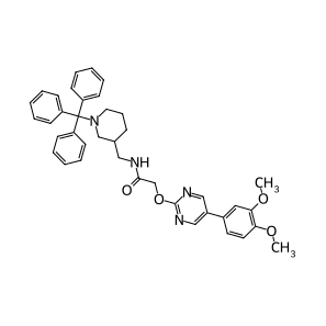 COc1ccc(-c2cnc(OCC(=O)NCC3CCCN(C(c4ccccc4)(c4ccccc4)c4ccccc4)C3)nc2)cc1OC